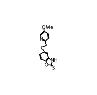 COc1ccc(COc2ccc3oc(=S)[nH]c3c2)nc1